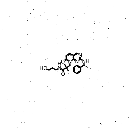 C[C@H](Nc1ncc2ccc(=O)n(CC(C)(C)C(=O)NCCCO)c2n1)c1ccccc1